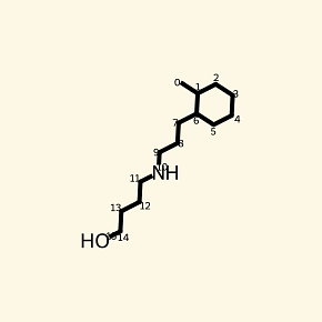 CC1CCCCC1CCCNCCCCO